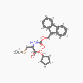 CC(C)(C)SCC(NC(=O)OCC1c2ccccc2-c2ccccc21)C(=O)OC1CCCC1